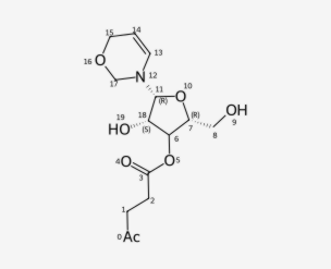 CC(=O)CCC(=O)OC1[C@@H](CO)O[C@@H](N2C=CCOC2)[C@H]1O